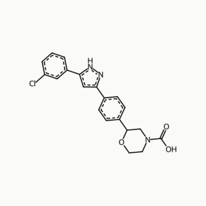 O=C(O)N1CCOC(c2ccc(-c3cc(-c4cccc(Cl)c4)[nH]n3)cc2)C1